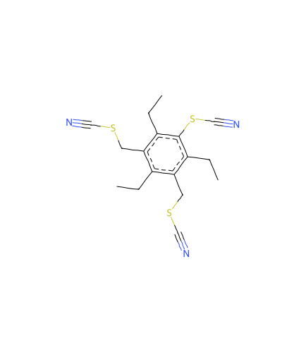 CCc1c(CSC#N)c(CC)c(SC#N)c(CC)c1CSC#N